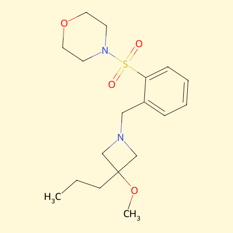 CCCC1(OC)CN(Cc2ccccc2S(=O)(=O)N2CCOCC2)C1